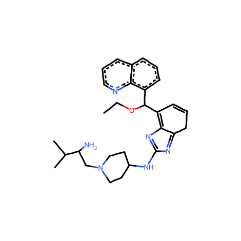 CCOC(C1=C2N=C(NC3CCN(CC(N)C(C)C)CC3)N=C2CC=C1)c1cccc2cccnc12